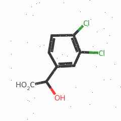 O=C(O)C(O)c1ccc(Cl)c(Cl)c1